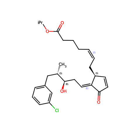 CC(C)OC(=O)CCC/C=C\C[C@H]1C=CC(=O)/C1=C/C[C@@H](O)[C@@H](C)Cc1cccc(Cl)c1